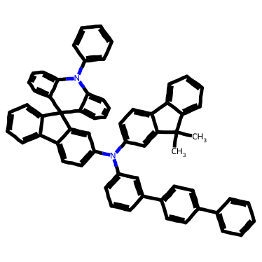 CC1(C)c2ccccc2-c2ccc(N(c3cccc(-c4ccc(-c5ccccc5)cc4)c3)c3ccc4c(c3)C3(c5ccccc5-4)c4ccccc4N(c4ccccc4)c4ccccc43)cc21